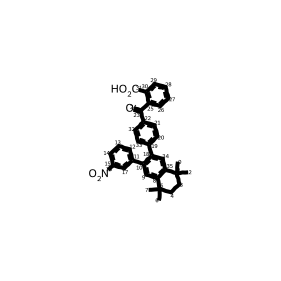 CC1(C)CCC(C)(C)c2cc(-c3cccc([N+](=O)[O-])c3)c(-c3ccc(C(=O)c4ccccc4C(=O)O)cc3)cc21